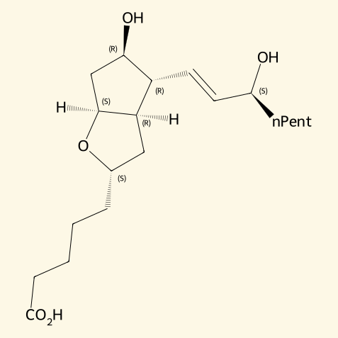 CCCCC[C@H](O)C=C[C@@H]1[C@H]2C[C@H](CCCCC(=O)O)O[C@H]2C[C@H]1O